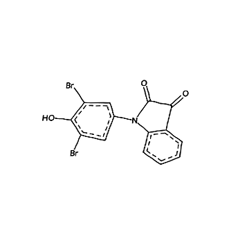 O=C1C(=O)N(c2cc(Br)c(O)c(Br)c2)c2ccccc21